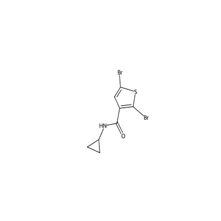 O=C(NC1CC1)c1cc(Br)sc1Br